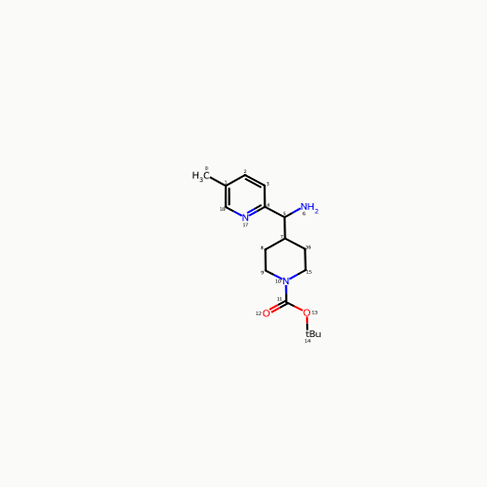 Cc1ccc(C(N)C2CCN(C(=O)OC(C)(C)C)CC2)nc1